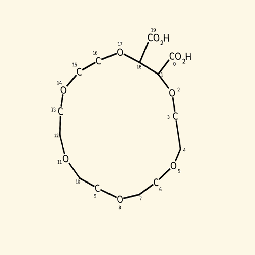 O=C(O)C1OCCOCCOCCOCCOCCOC1C(=O)O